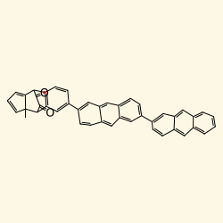 CC12C=CC=C1C1C(=O)C(=O)C2c2cc(-c3ccc4cc5cc(-c6ccc7cc8ccccc8cc7c6)ccc5cc4c3)ccc21